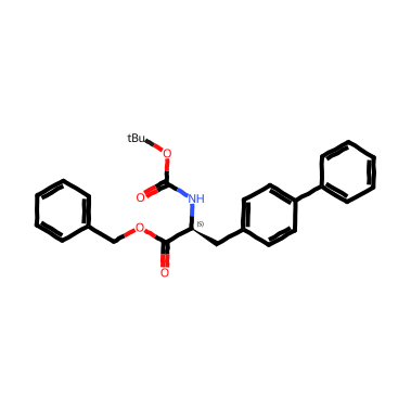 CC(C)(C)OC(=O)N[C@@H](Cc1ccc(-c2ccccc2)cc1)C(=O)OCc1ccccc1